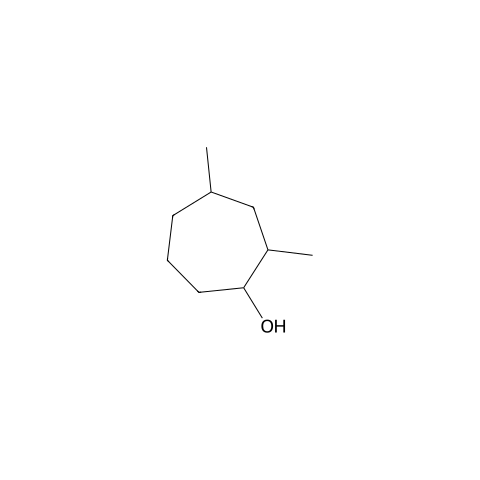 CC1CCCC(O)C(C)C1